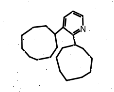 c1cnc(C2CCCCCCCC2)c(C2CCCCCCCC2)c1